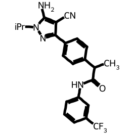 CC(C(=O)Nc1cccc(C(F)(F)F)c1)c1ccc(-c2nn(C(C)C)c(N)c2C#N)cc1